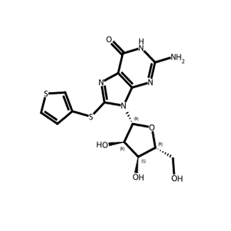 Nc1nc2c(nc(Sc3ccsc3)n2[C@@H]2O[C@H](CO)[C@@H](O)[C@H]2O)c(=O)[nH]1